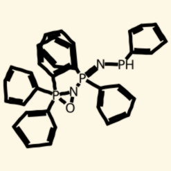 c1ccc(PN=P(c2ccccc2)(c2ccccc2)N2OP2(c2ccccc2)(c2ccccc2)c2ccccc2)cc1